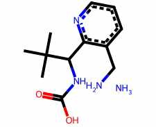 CC(C)(C)C(NC(=O)O)c1ncccc1CN.N